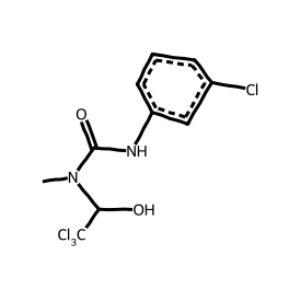 CN(C(=O)Nc1cccc(Cl)c1)C(O)C(Cl)(Cl)Cl